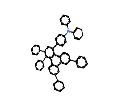 C1=CC(N(c2ccccc2)c2ccc(-c3cc(-c4ccccc4)c(-c4ccccc4)c4c5ccc(-c6ccccc6)cc5c5cc(-c6ccccc6)ccc5c34)cc2)=CCC1